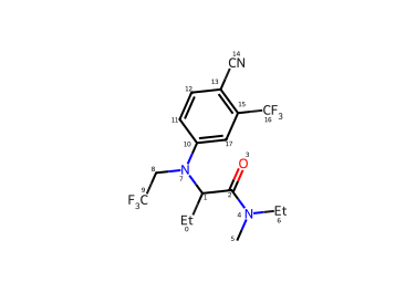 CCC(C(=O)N(C)CC)N(CC(F)(F)F)c1ccc(C#N)c(C(F)(F)F)c1